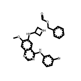 COc1cc2ncnc(Nc3cccc(Br)c3)c2cc1NC1CNC1.O=COCc1ccccc1